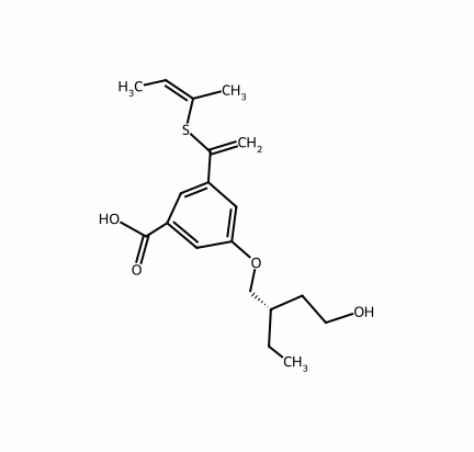 C=C(S/C(C)=C\C)c1cc(OC[C@@H](CC)CCO)cc(C(=O)O)c1